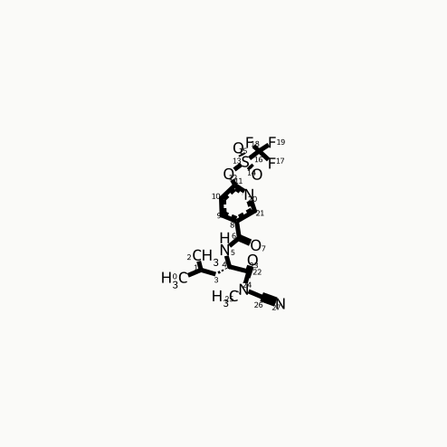 CC(C)C[C@H](NC(=O)c1ccc(OS(=O)(=O)C(F)(F)F)nc1)C(=O)N(C)C#N